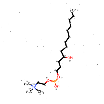 CCCCCCCCCCCCCCCCCCC(O)CCCOP(O)OCC[N+](C)(C)C